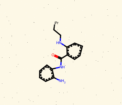 CC(C)CCNc1ccccc1C(=O)Nc1ccccc1N